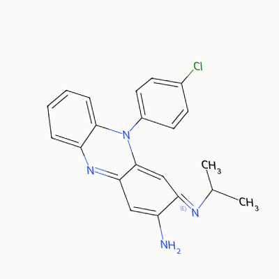 CC(C)/N=c1\cc2n(-c3ccc(Cl)cc3)c3ccccc3nc-2cc1N